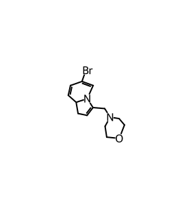 BrC1=CN2C(CN3CCOCC3)=CCC2C=C1